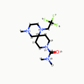 CN1CCN(CC(F)(F)F)C2(CCN(C(=O)N(C)C)CC2)C1